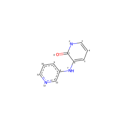 O=C1[N]C=CC=C1Nc1cccnc1